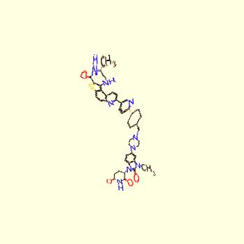 C[C@@H]1CNc2c(sc3ccc4nc(-c5ccc([C@H]6CC[C@H](CN7CCN(c8ccc9c(c8)n(C)c(=O)n9C8CCC(=O)NC8=O)CC7)CC6)nc5)ccc4c23)C(=O)N1